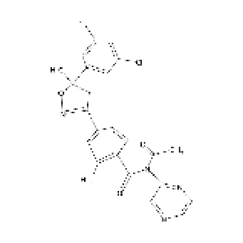 CC(=O)N(C(=O)c1ccc(C2=NOC(C)(c3cc(Cl)cc(Cl)c3)C2)cc1C)c1cnccn1